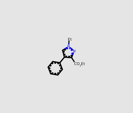 CCOC(=O)c1nn(CC)cc1-c1ccccc1